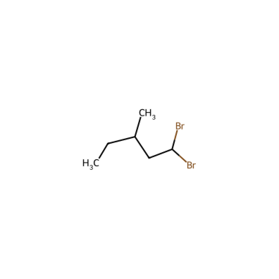 CCC(C)CC(Br)Br